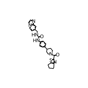 O=C(NCc1ccn2ccnc2c1)Nc1ccc(C2CCN(C(=O)c3nc4c(s3)CCCC4)CC2)cc1